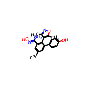 CCCc1cc(/C(N)=N/O)c(-c2c(C)noc2C)c(-c2ccc(O)cc2)c1